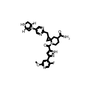 COc1cc(-c2cc(C(=O)N3CCC(C(N)=O)CC34CC4Cc3ncc(N4C[C@H]5C[C@@H]4CN5)cn3)[nH]n2)c(F)cn1